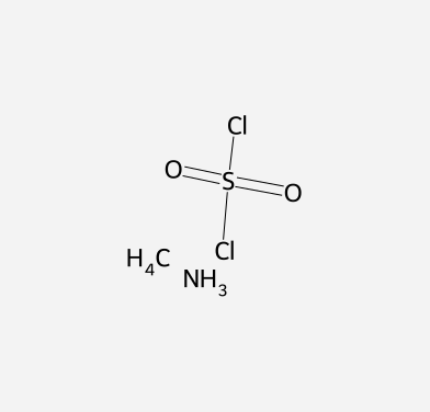 C.N.O=S(=O)(Cl)Cl